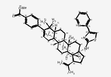 C=C(C)[C@@H]1CC[C@]2(Nc3nc(-c4ccccn4)cs3)CC[C@]3(C)[C@H](CC[C@@H]4[C@@]5(C)CC=C(c6ccc(C(=O)OC)cc6)C(C)(C)[C@@H]5CC[C@]43C)[C@@H]12